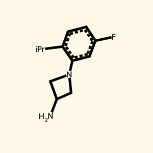 CC(C)c1ccc(F)cc1N1CC(N)C1